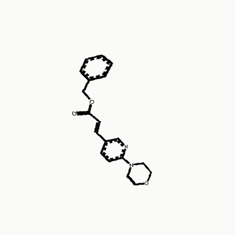 O=C(/C=C/c1ccc(N2CCOCC2)nc1)OCc1ccccc1